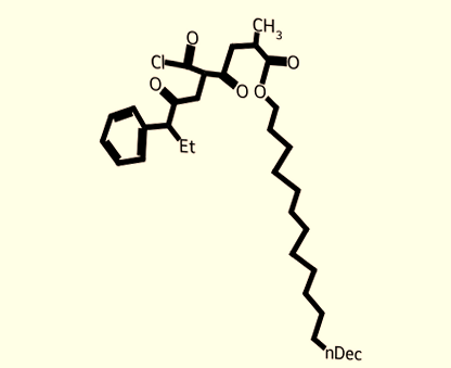 CCCCCCCCCCCCCCCCCCCCCCOC(=O)C(C)CC(=O)C(CC(=O)C(CC)c1ccccc1)C(=O)Cl